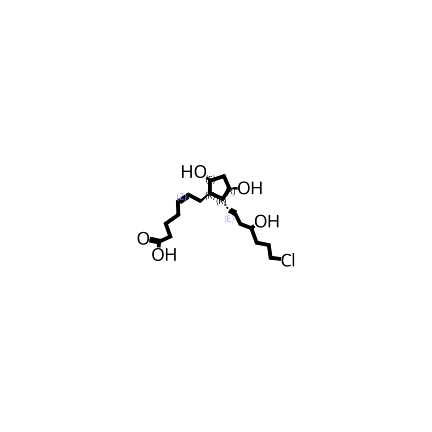 O=C(O)CCC/C=C\C[C@@H]1[C@@H](/C=C/CC(O)CCCCl)[C@H](O)C[C@@H]1O